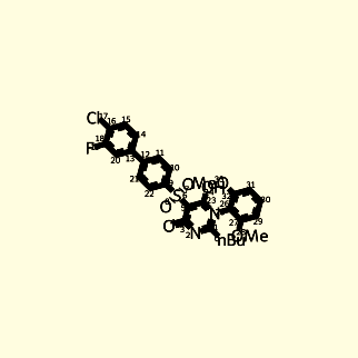 CCCCc1nc(=O)c(S(=O)(=O)c2ccc(-c3ccc(Cl)c(F)c3)cc2)c(O)n1-c1c(OC)cccc1OC